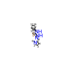 Cn1cccc1C=NNC(=S)NC1CC2C=CC1C2